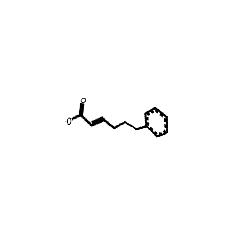 [O]C(=O)C=CCCCc1ccccc1